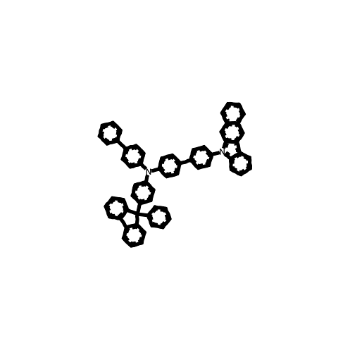 c1ccc(-c2ccc(N(c3ccc(-c4ccc(-n5c6ccccc6c6cc7ccccc7cc65)cc4)cc3)c3ccc(C4(c5ccccc5)c5ccccc5-c5ccccc54)cc3)cc2)cc1